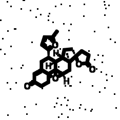 Cc1ccc([C@@H]2CC3=CC(=O)CCC3(C)C34O[C@@H]3C[C@@]3(C)[C@@H](CC[C@@]35CCC(=O)O5)[C@H]24)o1